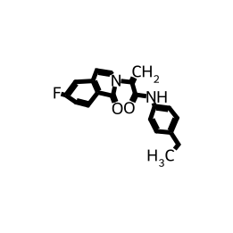 C=C(C(=O)Nc1ccc(CC)cc1)n1ccc2cc(F)ccc2c1=O